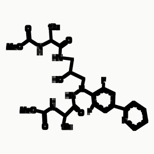 COC(=O)NC(C(=O)NCC(O)CN(NC(=O)C(NC(=O)OC)C(C)(C)C)c1c(F)cc(-c2ccccn2)cc1F)C(C)(C)C